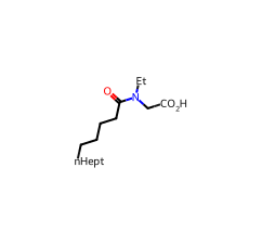 CCCCCCCCCCCC(=O)N(CC)CC(=O)O